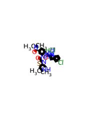 CN(C)C(=O)[C@H]1CC[C@H](NC(=O)c2cc3cc(Cl)ccc3[nH]2)[C@H](NC(=O)c2nc3c(s2)CC(C)(C)NC3)C1.Cl